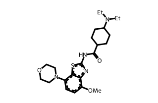 CCN(CC)C1CCC(C(=O)Nc2nc3c(OC)ccc(N4CCOCC4)c3s2)CC1